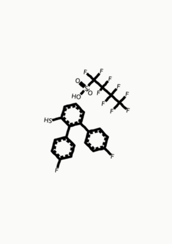 Fc1ccc(-c2cccc(S)c2-c2ccc(F)cc2)cc1.O=S(=O)(O)C(F)(F)C(F)(F)C(F)(F)C(F)(F)F